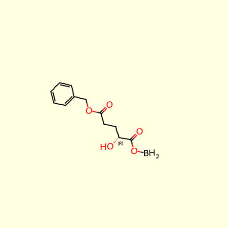 BOC(=O)[C@H](O)CCC(=O)OCc1ccccc1